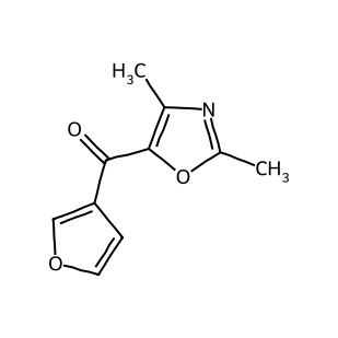 Cc1nc(C)c(C(=O)c2ccoc2)o1